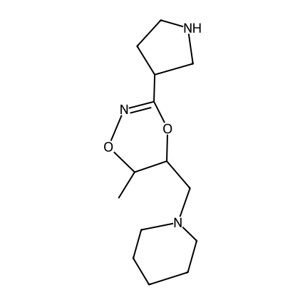 CC1ON=C(C2CCNC2)OC1CN1CCCCC1